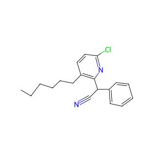 CCCCCCc1ccc(Cl)nc1C(C#N)c1ccccc1